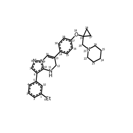 CCc1cccc(-c2cnn3c2NCC(c2ccc(OC4(CN5CCCCC5)CC4)cc2)=C3)c1